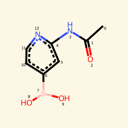 CC(=O)Nc1cc(B(O)O)ccn1